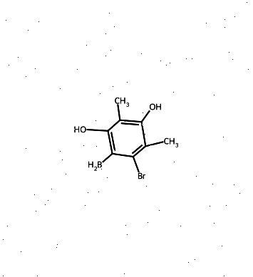 Bc1c(O)c(C)c(O)c(C)c1Br